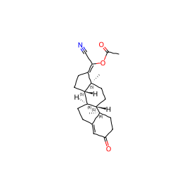 CC(=O)OC(C#N)=C1CC[C@H]2[C@@H]3CCC4=CC(=O)CC[C@]4(C)[C@H]3CC[C@]12C